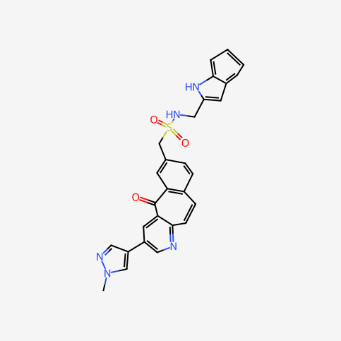 Cn1cc(-c2cnc3ccc4ccc(CS(=O)(=O)NCc5cc6ccccc6[nH]5)cc4c(=O)c3c2)cn1